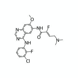 COc1cc2ncnc(Nc3cccc(Cl)c3F)c2cc1NC(=O)C(F)=CCN(C)C